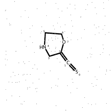 S=C=C1CNCCO1